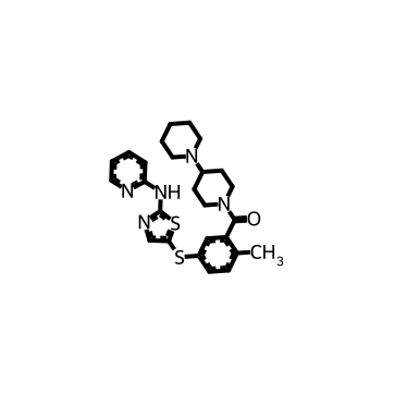 Cc1ccc(Sc2cnc(Nc3ccccn3)s2)cc1C(=O)N1CCC(N2CCCCC2)CC1